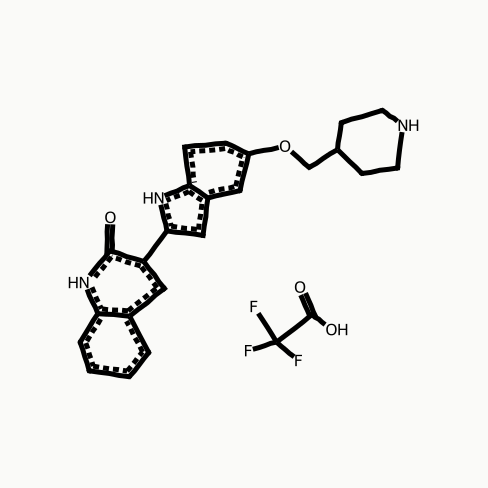 O=C(O)C(F)(F)F.O=c1[nH]c2ccccc2cc1-c1cc2cc(OCC3CCNCC3)ccc2[nH]1